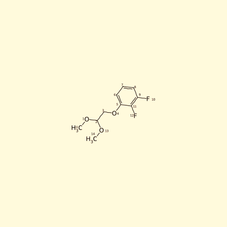 COC(COc1cccc(F)c1F)OC